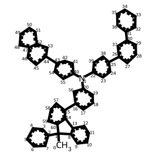 CC1(c2ccccc2)c2ccccc2-c2c(-c3cccc(N(c4ccc(-c5cccc(-c6ccccc6)c5)cc4)c4ccc(-c5ccc6ccccc6c5)cc4)c3)cccc21